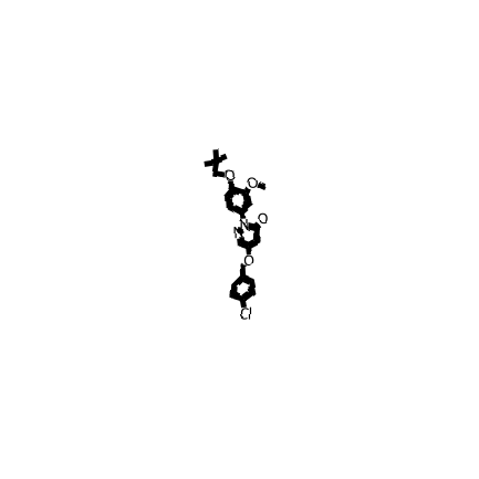 COc1cc(-n2ncc(OCc3ccc(Cl)cc3)cc2=O)ccc1OCC(C)(C)C